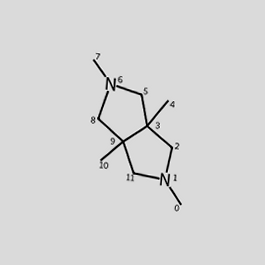 CN1CC2(C)CN(C)CC2(C)C1